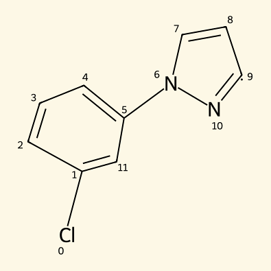 Clc1cccc(-n2cc[c]n2)c1